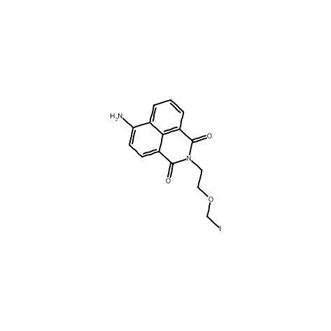 Nc1ccc2c3c(cccc13)C(=O)N(CCOCI)C2=O